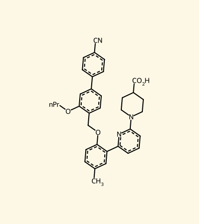 CCCOc1cc(-c2ccc(C#N)cc2)ccc1COc1ccc(C)cc1-c1cccc(N2CCC(C(=O)O)CC2)n1